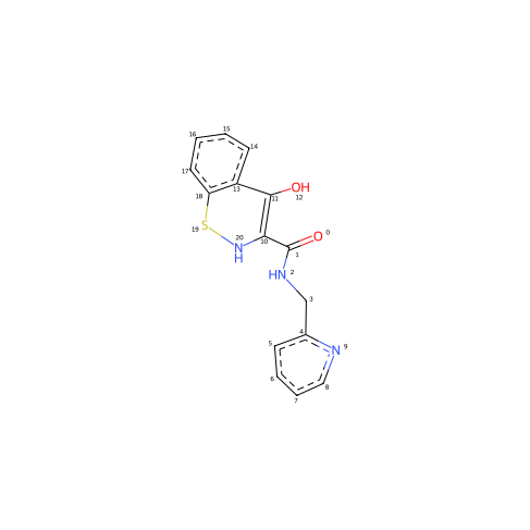 O=C(NCc1ccccn1)C1=C(O)c2ccccc2SN1